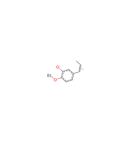 C/C=C\c1ccc(OCC)c([O])c1